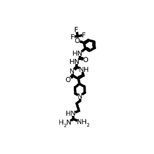 NC(N)NCCCN1CCC(c2c[nH]c(NC(=O)Nc3ccccc3OC(F)(F)F)nc2=O)CC1